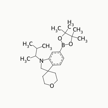 CC(C)C(C)N1CC2(CCOCC2)c2ccc(B3OC(C)(C)C(C)(C)O3)cc21